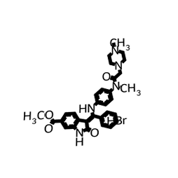 Br.COC(=O)c1ccc2c(c1)NC(=O)C2=C(Nc1ccc(N(C)C(=O)CN2CCN(C)CC2)cc1)c1ccccc1